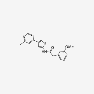 COc1cccc(CC(=O)Nc2cc(-c3ccnc(C)c3)cs2)c1